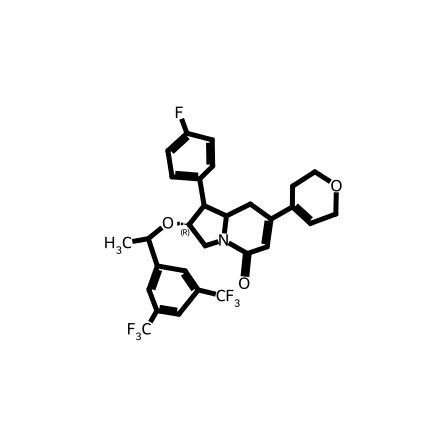 CC(O[C@H]1CN2C(=O)C=C(C3=CCOCC3)CC2C1c1ccc(F)cc1)c1cc(C(F)(F)F)cc(C(F)(F)F)c1